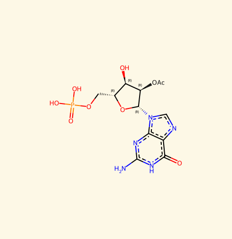 CC(=O)O[C@@H]1[C@H](O)[C@@H](COP(=O)(O)O)O[C@H]1n1cnc2c(=O)[nH]c(N)nc21